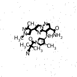 Cc1nn(C)cc1-c1cn2ncc(C(N)=O)c(N[C@@H]3CN(C(=O)C(C)(C)C#N)C[C@H]3C)c2n1